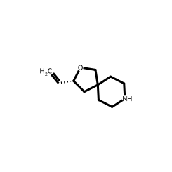 C=C[C@H]1CC2(CCNCC2)CO1